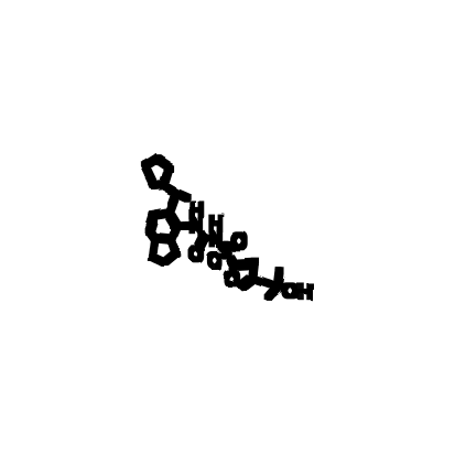 CC(c1ccc2c(c1NC(=O)NS(=O)(=O)c1cc(C(C)(C)O)co1)CCC2)C1CCCC1